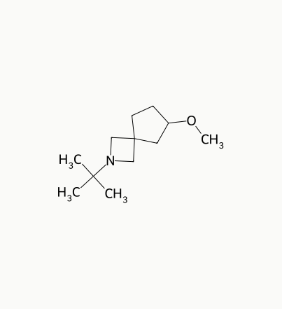 COC1CCC2(C1)CN(C(C)(C)C)C2